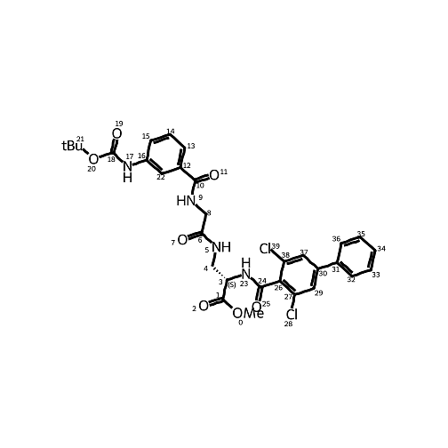 COC(=O)[C@H](CNC(=O)CNC(=O)c1cccc(NC(=O)OC(C)(C)C)c1)NC(=O)c1c(Cl)cc(-c2ccccc2)cc1Cl